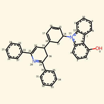 Oc1cccc2c1c1ccccc1n2C1C=CC=C(C2C=C(c3ccccc3)N=C(c3ccccc3)C2)C1